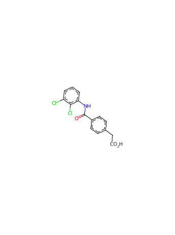 O=C(O)Cc1ccc(C(=O)Nc2cccc(Cl)c2Cl)cc1